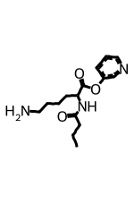 CCCC(=O)NC(CCCCN)C(=O)Oc1cccnc1